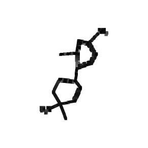 Cc1cc(N)ccc1C1=CCC(C)(N)C=C1